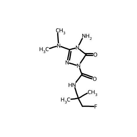 CN(C)c1nn(C(=O)NC(C)(C)CF)c(=O)n1N